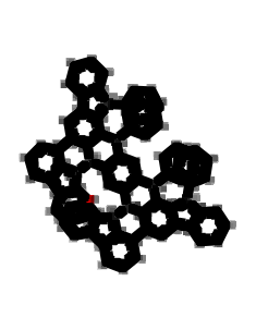 c1ccc(N2c3cc4c(cc3B3c5c(cc6c7ccccc7n(-c7ccccc7)c6c52)-c2cccc5c6ccccc6n3c25)B2c3c(cc5c6ccccc6n(-c6ccccc6)c5c3N4c3ccccc3)-c3cccc4c5ccccc5n2c34)cc1